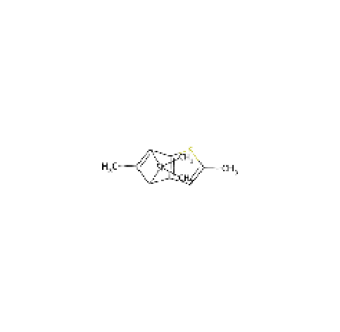 CC1=C2c3sc(C)cc3C1[Si]2(C)C